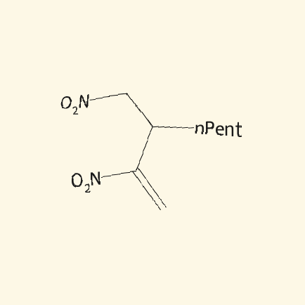 C=C(C(CCCCC)C[N+](=O)[O-])[N+](=O)[O-]